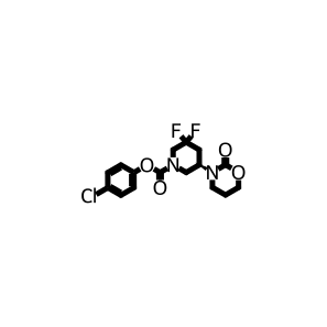 O=C(Oc1ccc(Cl)cc1)N1C[C@H](N2CCCOC2=O)CC(F)(F)C1